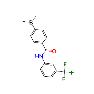 CB(C)c1ccc(C(=O)Nc2cccc(C(F)(F)F)c2)cc1